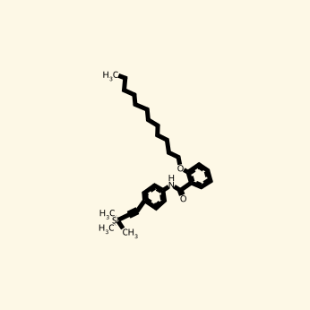 CCCCCCCCCCCCOc1ccccc1C(=O)Nc1ccc(C#C[Si](C)(C)C)cc1